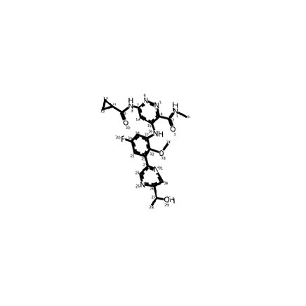 CNC(=O)c1nnc(NC(=O)C2CC2)cc1Nc1cc(F)cc(-c2cnc(C(C)O)cn2)c1OC